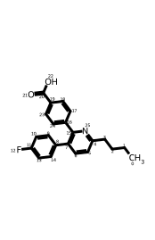 CCCCc1ccc(-c2ccc(F)cc2)c(-c2ccc(C(=O)O)cc2)n1